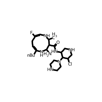 CCCC/C1=C/C/C(F)=C\NC(C)C(C(=O)NC2CNCC(Cl)C2N2CCNCC2)C(N)N1